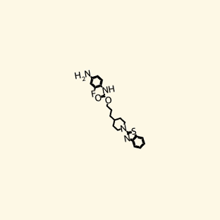 Nc1ccc(NC(=O)OCCCC2CCN(c3nc4ccccc4s3)CC2)c(F)c1